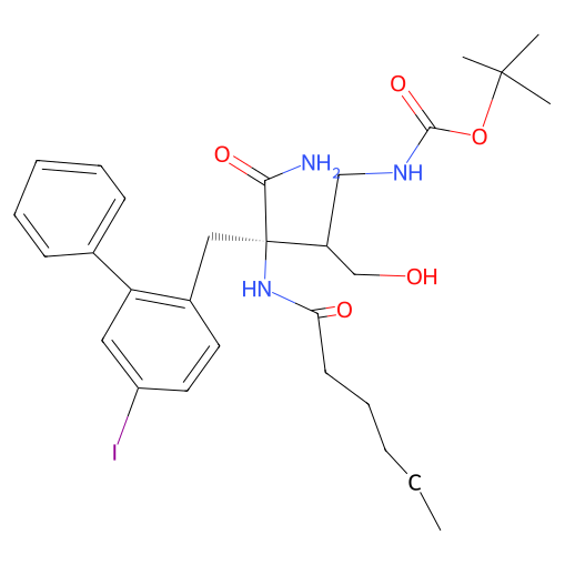 CCCCCC(=O)N[C@@](Cc1ccc(I)cc1-c1ccccc1)(C(N)=O)C(CO)CNC(=O)OC(C)(C)C